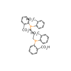 O=C(O)c1ccccc1P(CCCP(c1ccccc1C(=O)O)c1ccccc1C(=O)O)c1ccccc1C(=O)O